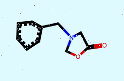 O=C1CN(Cc2ccccc2)CO1